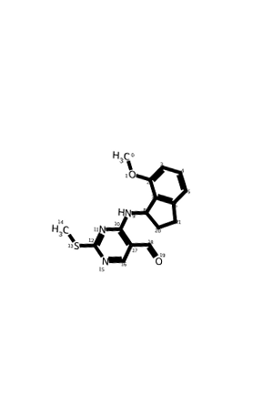 COc1cccc2c1C(Nc1nc(SC)ncc1C=O)CC2